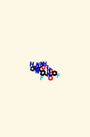 COc1ccc(F)cc1C(=O)NCc1ccc(-c2nn(C3CCCC3)c(N)c2C(N)=O)cc1F